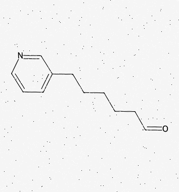 O=[C]CCCCCc1cccnc1